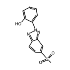 CS(=O)(=O)c1ccc2nn(-c3cc[c]cc3O)nc2c1